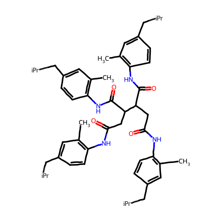 Cc1cc(CC(C)C)ccc1NC(=O)CC(C(=O)Nc1ccc(CC(C)C)cc1C)C(CC(=O)Nc1ccc(CC(C)C)cc1C)C(=O)Nc1ccc(CC(C)C)cc1C